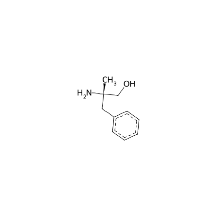 C[C@@](N)(CO)Cc1ccccc1